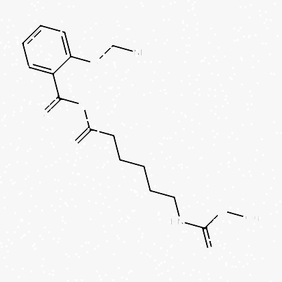 CC(C)(C)OC(=O)NCCCCCC(=O)OC(=O)c1ccccc1OCN